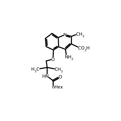 CCCCCCC(=O)NC(C)(C)COc1cccc2nc(C)c(C(=O)O)c(N)c12